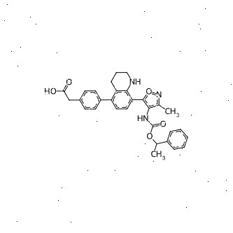 Cc1noc(-c2ccc(-c3ccc(CC(=O)O)cc3)c3c2NCCC3)c1NC(=O)OC(C)c1ccccc1